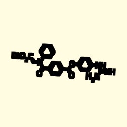 CCOC(=O)CN(C(=O)c1ccc(C(=O)Oc2ccc(NC(=N)N)cc2)cc1)c1ccccc1